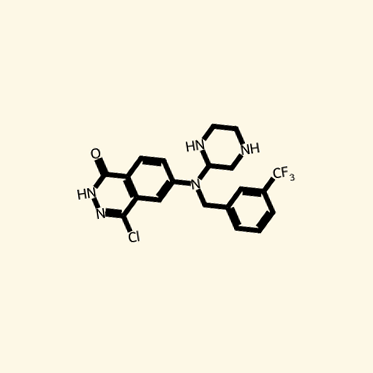 O=c1[nH]nc(Cl)c2cc(N(Cc3cccc(C(F)(F)F)c3)C3CNCCN3)ccc12